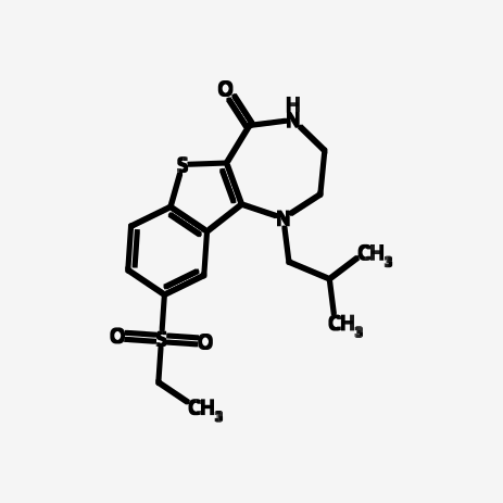 CCS(=O)(=O)c1ccc2sc3c(c2c1)N(CC(C)C)CCNC3=O